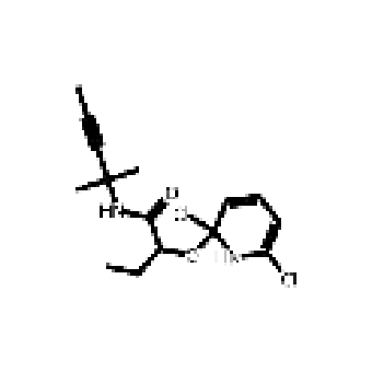 CC#CC(C)(C)NC(=O)C(CC)OC1(Cl)C=CC=C(Cl)N1